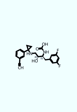 C#Cc1cccc(C2(NC[C@@H](O)[C@H](Cc3cc(F)cc(F)c3)NC(=O)O)CC2)c1